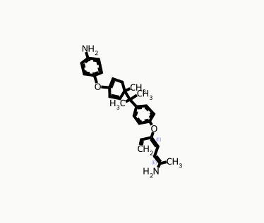 C=C/C(=C\C=C(/C)N)Oc1ccc(C(C)(C)C2(C)C=CC(Oc3ccc(N)cc3)=CC2)cc1